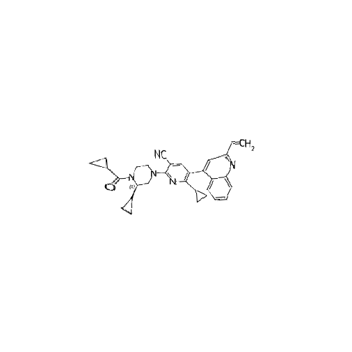 C=Cc1cc(-c2cc(C#N)c(N3CCN(C(=O)C4CC4)[C@H](C4CC4)C3)nc2C2CC2)c2ccccc2n1